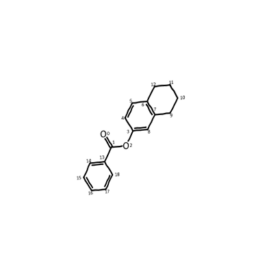 O=C(Oc1ccc2c(c1)CCCC2)c1ccccc1